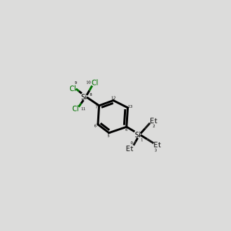 CC[Si](CC)(CC)c1ccc([Si](Cl)(Cl)Cl)cc1